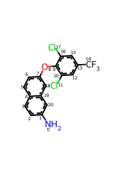 Nc1ccc2ccc(Oc3c(Cl)cc(C(F)(F)F)cc3Cl)cc2c1